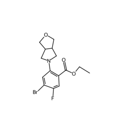 CCOC(=O)c1cc(F)c(Br)cc1N1CC2COCC2C1